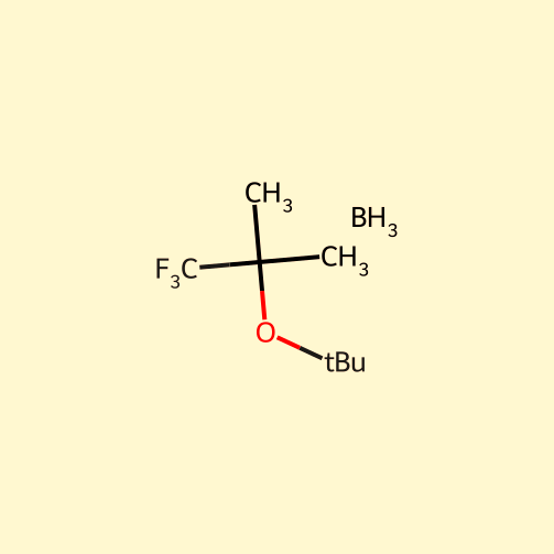 B.CC(C)(C)OC(C)(C)C(F)(F)F